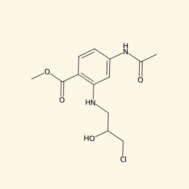 COC(=O)c1ccc(NC(C)=O)cc1NCC(O)CCl